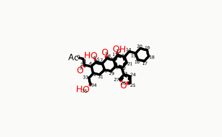 CC(=O)CC(=O)C1C(O)=C2C(=O)c3c(O)c(CC4CCCCC4)cc(-c4ccoc4)c3CC2CC1CCO